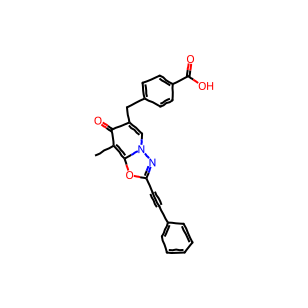 Cc1c(=O)c(Cc2ccc(C(=O)O)cc2)cn2nc(C#Cc3ccccc3)oc12